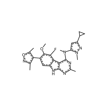 COc1c(-c2c(C)noc2C)cc2[nH]c3nc(C)nc(N(C)c4cc(C5CC5)nn4C)c3c2c1F